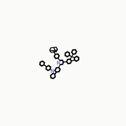 c1ccc(-c2ccc(-n3c4ccccc4c4ccc(-c5cc(-c6ccc7c(c6)C(c6ccccc6)(c6ccccc6)c6ccccc6-7)cc(-c6ccc(C78CC9CC(CC(C9)C7)C8)cc6)n5)cc43)cc2)cc1